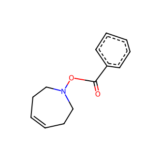 O=C(ON1CCC=CCC1)c1ccccc1